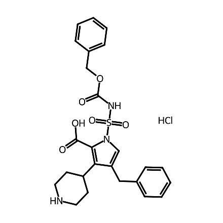 Cl.O=C(NS(=O)(=O)n1cc(Cc2ccccc2)c(C2CCNCC2)c1C(=O)O)OCc1ccccc1